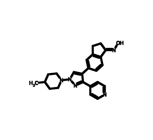 CC1CCN(n2cc(-c3ccc4c(c3)CCC4=NO)c(-c3ccncc3)n2)CC1